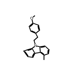 COc1ccc(CCn2c3ccccc3c3c(C)cccc32)cc1